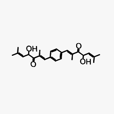 CC(C)=CC(O)C(=O)/C(C)=C/c1ccc(/C=C(\C)C(=O)C(O)C=C(C)C)cc1